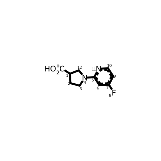 O=C(O)C1CCN(c2cc(F)ccn2)C1